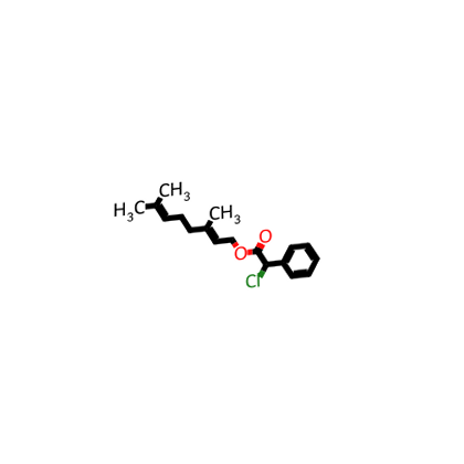 CC(C)=CCC/C(C)=C/COC(=O)C(Cl)c1ccccc1